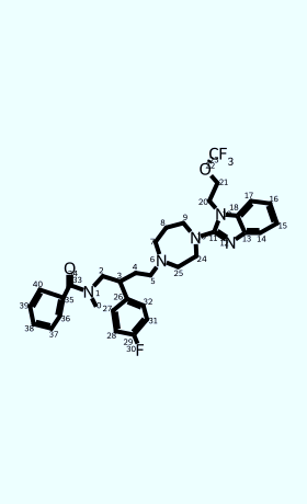 CN(CC(CCN1CCCN(c2nc3ccccc3n2CCOC(F)(F)F)CC1)c1ccc(F)cc1)C(=O)c1ccccc1